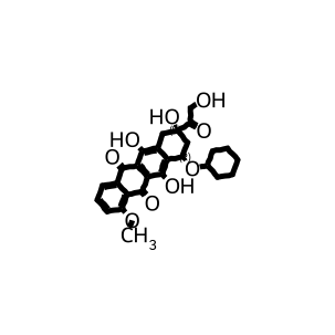 COc1cccc2c1C(=O)c1c(O)c3c(c(O)c1C2=O)C[C@](O)(C(=O)CO)C[C@H]3OC1CCCCC1